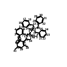 COc1ccccc1N1C(=[N][Zr]([CH2]c2ccccc2)([CH2]c2ccccc2)[CH2]c2ccccc2)NCC1c1c(C)cc(C)cc1C